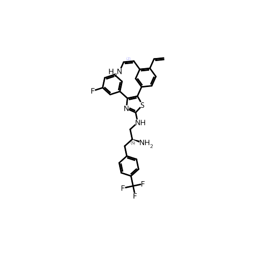 C=Cc1ccc(-c2sc(NC[C@@H](N)Cc3ccc(C(F)(F)F)cc3)nc2-c2cccc(F)c2)cc1/C=C\N